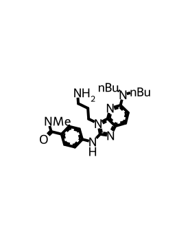 CCCCN(CCCC)c1ccc2nc(Nc3ccc(C(=O)NC)cc3)n(CCCN)c2n1